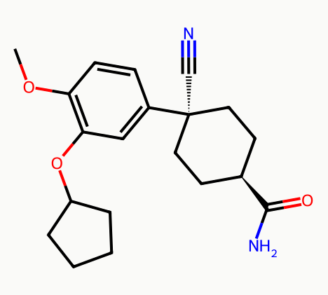 COc1ccc([C@]2(C#N)CC[C@H](C(N)=O)CC2)cc1OC1CCCC1